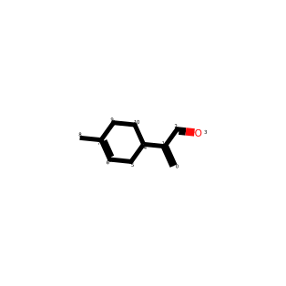 C=C(C=O)C1CC=C(C)CC1